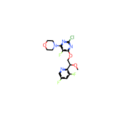 COC(COc1nc(Cl)nc(N2CCOCC2)c1F)c1ncc(F)cc1F